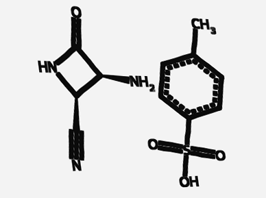 Cc1ccc(S(=O)(=O)O)cc1.N#C[C@H]1NC(=O)[C@H]1N